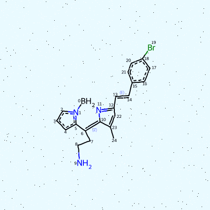 Bn1cccc1/C(CCN)=C1N=C(/C=C/c2ccc(Br)cc2)C=C\1C